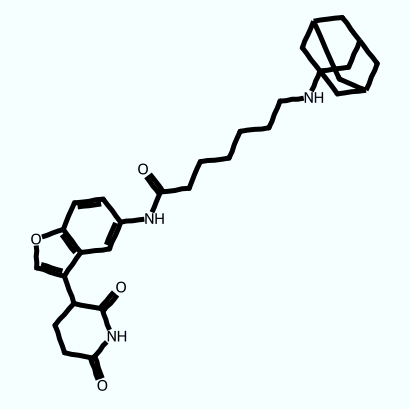 O=C1CCC(c2coc3ccc(NC(=O)CCCCCCNC45CC6CC(CC(C6)C4)C5)cc23)C(=O)N1